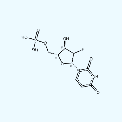 O=c1ccn([C@@H]2O[C@H](COP(=O)(O)O)[C@@H](O)C2F)c(=O)[nH]1